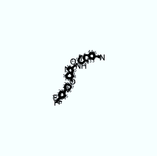 N#Cc1ccc(CN2CCC(NC(=O)c3cnc4ccc(OC5CCN(c6ccc(C(F)(F)F)cc6)CC5)cc4c3)CC2I)cc1